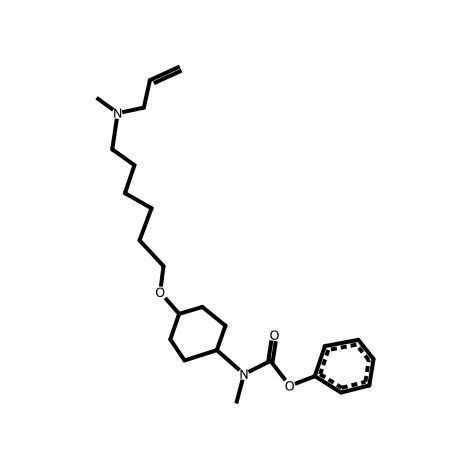 C=CCN(C)CCCCCCOC1CCC(N(C)C(=O)Oc2ccccc2)CC1